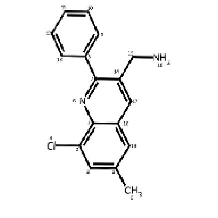 Cc1cc(Cl)c2nc(-c3ccccc3)c(CN)cc2c1